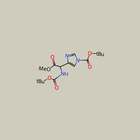 COC(=O)C(NC(=O)OC(C)(C)C)c1cn(C(=O)OC(C)(C)C)cn1